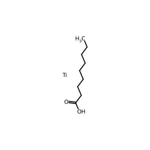 CCCCCCCCC(=O)O.[Ti]